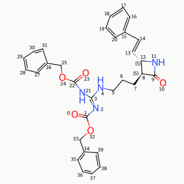 O=C(N=C(NCCC[C@@H]1C(=O)N[C@H]1C=Cc1ccccc1)NC(=O)OCc1ccccc1)OCc1ccccc1